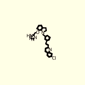 Clc1ccc2ccc(/C=C/c3cccc(CN4CCc5cccc(OCc6nnn[nH]6)c54)c3)nc2c1